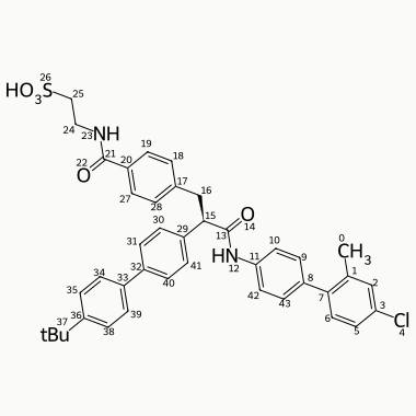 Cc1cc(Cl)ccc1-c1ccc(NC(=O)[C@H](Cc2ccc(C(=O)NCCS(=O)(=O)O)cc2)c2ccc(-c3ccc(C(C)(C)C)cc3)cc2)cc1